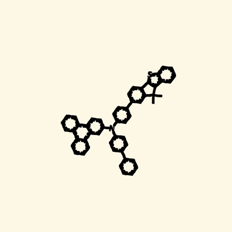 CC1(C)c2cc(-c3ccc(N(c4ccc(-c5ccccc5)cc4)c4ccc5c6ccccc6c6ccccc6c5c4)cc3)ccc2-c2sc3ccccc3c21